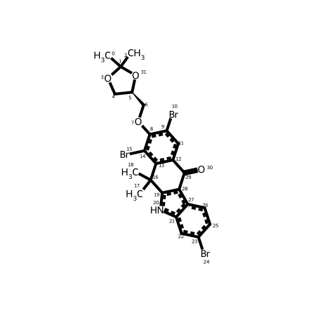 CC1(C)OC[C@H](COc2c(Br)cc3c(c2Br)C(C)(C)c2[nH]c4cc(Br)ccc4c2C3=O)O1